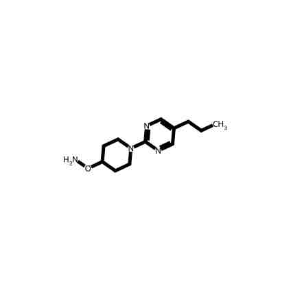 CCCc1cnc(N2CCC(ON)CC2)nc1